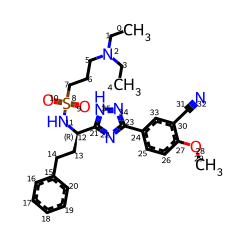 CCN(CC)CCCS(=O)(=O)N[C@H](CCc1ccccc1)c1nc(-c2ccc(OC)c(C#N)c2)n[nH]1